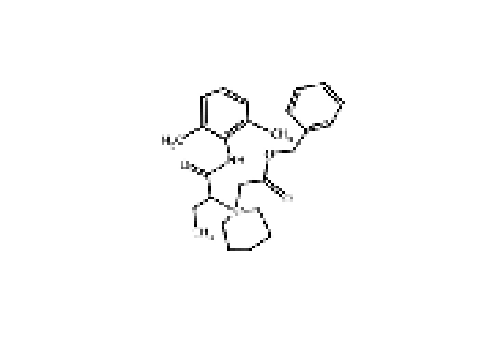 CCC(C(=O)Nc1c(C)cccc1C)[N+]1(CC(=O)OCc2ccccc2)CCCCC1